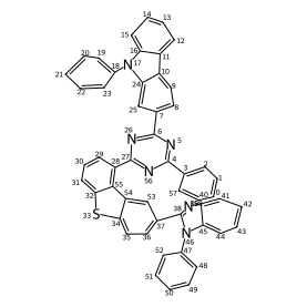 c1ccc(-c2nc(-c3ccc4c5ccccc5n(-c5ccccc5)c4c3)nc(-c3cccc4sc5ccc(-c6nc7ccccc7n6-c6ccccc6)cc5c34)n2)cc1